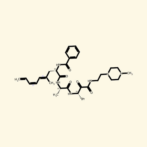 C=C/C=C\C=C(/C)C[C@H](NC(=O)c1ccccc1)C(=O)N[C@@H](C)C(=O)N[C@H](C(=O)C(=O)NCCN1CCN(C)CC1)C(C)C